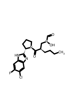 CCCC[C@H](CN(O)C=O)C(=O)N1CCC[C@H]1c1nc2cc(Cl)c(F)cc2[nH]1